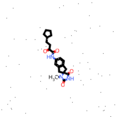 CN1C(=O)NC(=O)C12Cc1ccc(NC(=O)C(=O)CCC3CCCC3)cc1C2